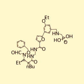 CCCC[C@@H](C(=O)NCNC(=O)c1ccc(-c2cc(CNCP(=O)(O)O)cc(OCC)c2)o1)[C@@H](CC)N(C=O)OCc1ccccc1